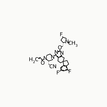 C=CC(=O)N1CCN(c2nc(OC[C@@H]3C[C@@H](F)CN3C)nc3c2CCC2(CCc4c(F)cc(F)cc42)C3)C[C@@H]1CC#N